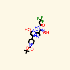 CC(C)(C)OC(=O)N1CCC(C2=CC(O)Nc3c(/C(=N\O)NC(=O)CC(F)(F)F)cnn32)CC1